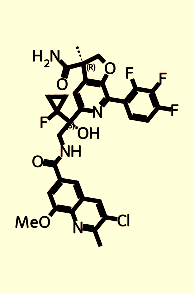 COc1cc(C(=O)NC[C@](O)(c2cc3c(c(-c4ccc(F)c(F)c4F)n2)OC[C@]3(C)C(N)=O)C2(F)CC2)cc2cc(Cl)c(C)nc12